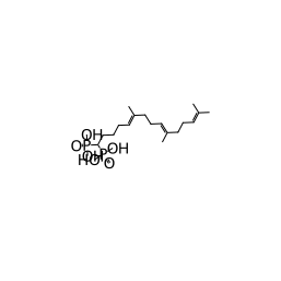 CC(C)=CCCC(C)=CCCC(C)=CCCCC(P(=O)(O)O)P(=O)(O)O